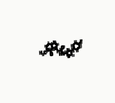 Cn1ccc2ncn(CC(=O)Nc3nc(-c4ccc(F)cc4)cs3)c2c1=O